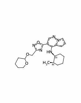 C[C@@H]1CCCC[C@@H]1Nc1c(-c2nc(COC3CCCCO3)no2)cnn2cccc12